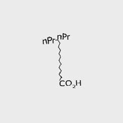 CCCC(CCC)CCCCCCCCCCCCC(=O)O